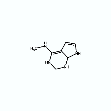 CNC1=C2C=CNC2NCN1